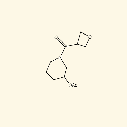 CC(=O)OC1CCCN(C(=O)C2COC2)C1